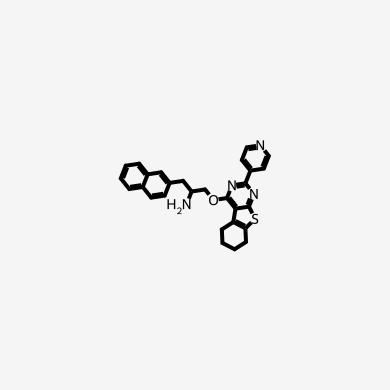 NC(COc1nc(-c2ccncc2)nc2sc3c(c12)CCCC3)Cc1ccc2ccccc2c1